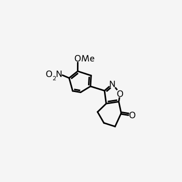 COc1cc(-c2noc3c2CCCC3=O)ccc1[N+](=O)[O-]